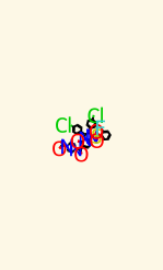 CC(=O)N1CCN(C(=O)c2ccc3n(c2=O)C(c2ccc(Cl)cc2)C(c2ccc(Cl)cc2)N3S(=O)(=O)c2ccccc2F)CC1